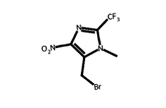 Cn1c(C(F)(F)F)nc([N+](=O)[O-])c1CBr